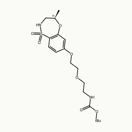 C[C@@H]1CNS(=O)(=O)c2ccc(OCCOCCNC(=O)OC(C)(C)C)cc2O1